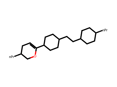 CCCC1CCC(CCC2CCC(C3=CCC(CCC)CO3)CC2)CC1